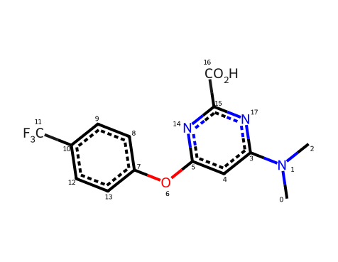 CN(C)c1cc(Oc2ccc(C(F)(F)F)cc2)nc(C(=O)O)n1